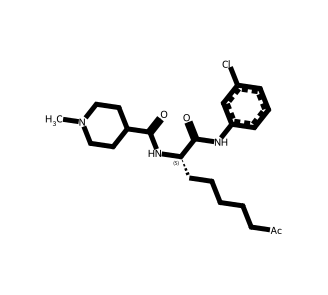 CC(=O)CCCCC[C@H](NC(=O)C1CCN(C)CC1)C(=O)Nc1cccc(Cl)c1